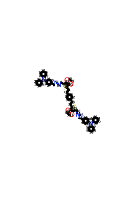 C(=C\c1sc(/C=N/N=C/c2ccc(N(c3ccccc3)c3ccccc3)cc2)c2c1OCCO2)/c1ccc(/C=C/c2sc(/C=N/N=C/c3ccc(N(c4ccccc4)c4ccccc4)cc3)c3c2OCCO3)cc1